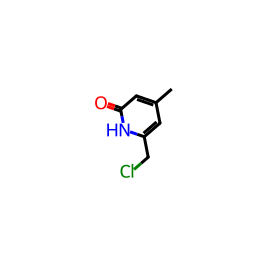 Cc1cc(CCl)[nH]c(=O)c1